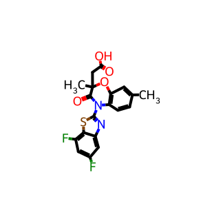 Cc1ccc2c(c1)OC(C)(CC(=O)O)C(=O)N2c1nc2cc(F)cc(F)c2s1